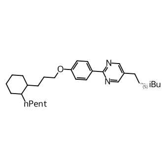 CCCCCC1CCCCC1CCCOc1ccc(-c2ncc(CC[C@@H](C)CC)cn2)cc1